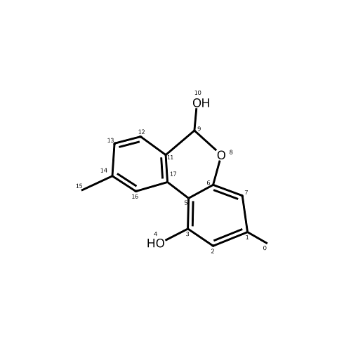 Cc1cc(O)c2c(c1)OC(O)c1ccc(C)cc1-2